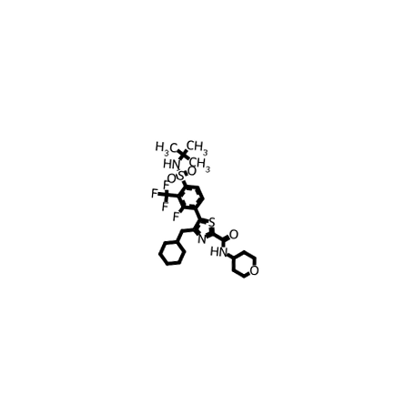 CC(C)(C)NS(=O)(=O)c1ccc(-c2sc(C(=O)NC3CCOCC3)nc2CC2CCCCC2)c(F)c1C(F)(F)F